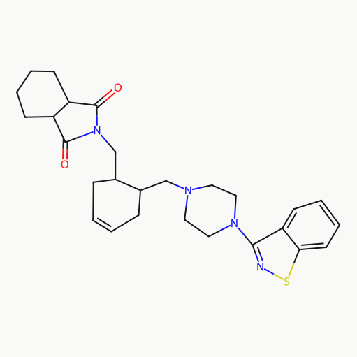 O=C1C2CCCCC2C(=O)N1CC1CC=CCC1CN1CCN(c2nsc3ccccc23)CC1